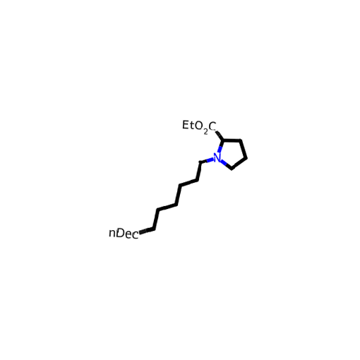 CCCCCCCCCCCCCCCCN1CCCC1C(=O)OCC